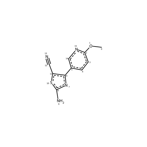 COc1ccc(-c2nc(N)sc2C#N)cn1